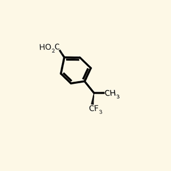 C[C@H](c1ccc(C(=O)O)cc1)C(F)(F)F